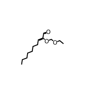 CCCCCCCC=C(C=O)OCOCC